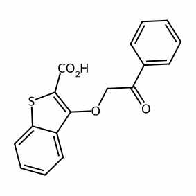 O=C(COc1c(C(=O)O)sc2ccccc12)c1ccccc1